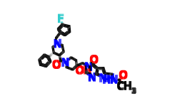 CC(=O)NCc1cc2c(=O)n(CC3(O)CCN(C(=O)[C@@H]4CCN(Cc5cccc(F)c5)C[C@H]4c4ccccc4)CC3)cnc2[nH]1